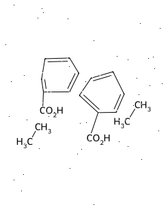 CC.CC.O=C(O)c1ccccc1.O=C(O)c1ccccc1